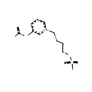 CC(=O)Oc1cccc(CCCCOS(C)(=O)=O)c1